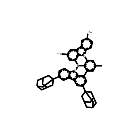 Cc1cc2c3c(c1)-n1c4ccc(C(C)(C)C)cc4c4cc(C(C)(C)C)cc(c41)B3n1c3ccc(C45CC6CC(CC(C6)C4)C5)cc3c3cc(C45CC6CC(CC(C6)C4)C5)cc-2c31